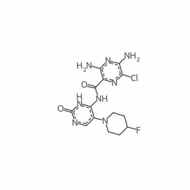 Nc1nc(N)c(C(=O)Nc2[nH]c(=O)ncc2N2CCC(F)CC2)nc1Cl